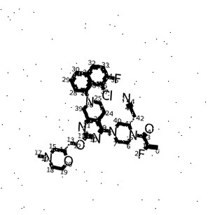 C=C(F)C(=O)N1CCN(c2nc(OC[C@H]3CN(C)CCO3)nc3c2CCN(c2cccc4ccc(F)c(Cl)c24)C3)C[C@@H]1CC#N